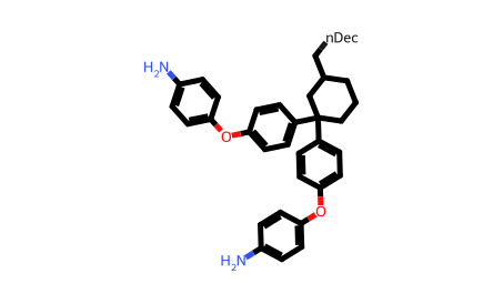 CCCCCCCCCCCC1CCCC(c2ccc(Oc3ccc(N)cc3)cc2)(c2ccc(Oc3ccc(N)cc3)cc2)C1